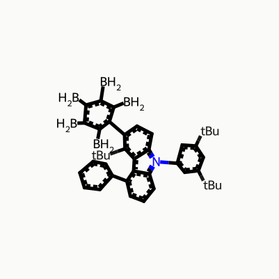 Bc1c(B)c(B)c(-c2ccc3c(c2C(C)(C)C)c2c(-c4ccccc4)cccc2n3-c2cc(C(C)(C)C)cc(C(C)(C)C)c2)c(B)c1B